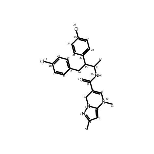 Cc1cc2n(n1)CC(C(=O)NC(C)C(Cc1ccc(Cl)cc1)c1ccc(Cl)cc1)=CN2C